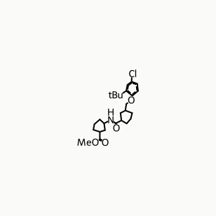 COC(=O)C1CCCC(NC(=O)C2CCCC(COc3ccc(Cl)cc3C(C)(C)C)C2)C1